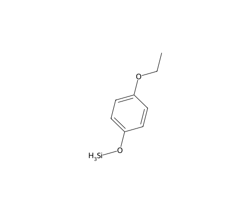 CCOc1ccc(O[SiH3])cc1